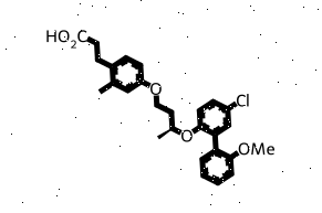 COc1ccccc1-c1cc(Cl)ccc1O[C@@H](C)CCOc1ccc(CCC(=O)O)c(C)c1